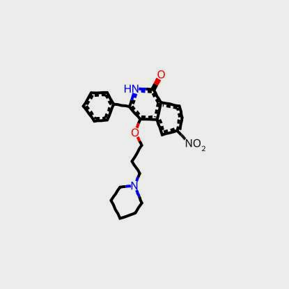 O=c1[nH]c(-c2ccccc2)c(OCCCN2CCCCC2)c2cc([N+](=O)[O-])ccc12